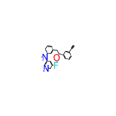 C#Cc1cccc(C(=O)Cc2cccc(N(C)c3cncc(F)c3)c2)c1